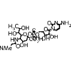 CNCC(=O)NC1C(O)CC(OP(=O)(O)OCC2O[C@@H](n3ccc(N)nc3=O)[C@H](O)[C@@H]2O)(C(=O)O)OC1C(O)C(C)O